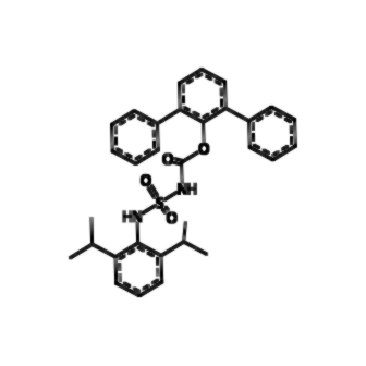 CC(C)c1cccc(C(C)C)c1NS(=O)(=O)NC(=O)Oc1c(-c2ccccc2)cccc1-c1ccccc1